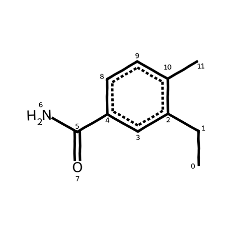 CCc1cc(C(N)=O)ccc1C